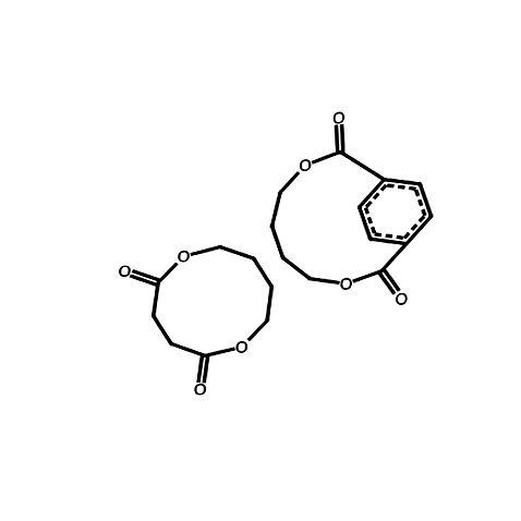 O=C1CCC(=O)OCCCCO1.O=C1OCCCCOC(=O)c2ccc1cc2